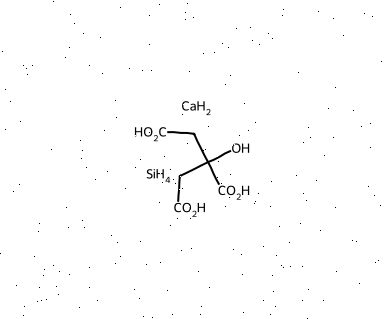 O=C(O)CC(O)(CC(=O)O)C(=O)O.[CaH2].[SiH4]